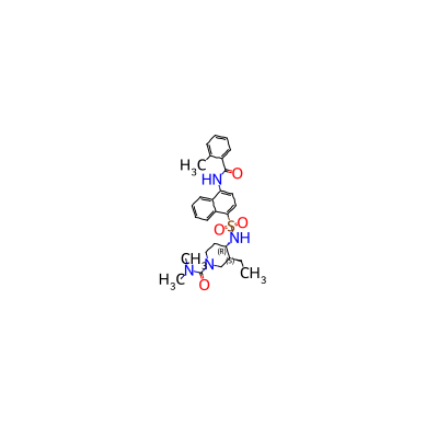 CC[C@H]1CN(C(=O)N(C)C)CC[C@H]1NS(=O)(=O)c1ccc(NC(=O)c2ccccc2C)c2ccccc12